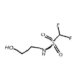 O=S(=O)(NCCO)C(F)F